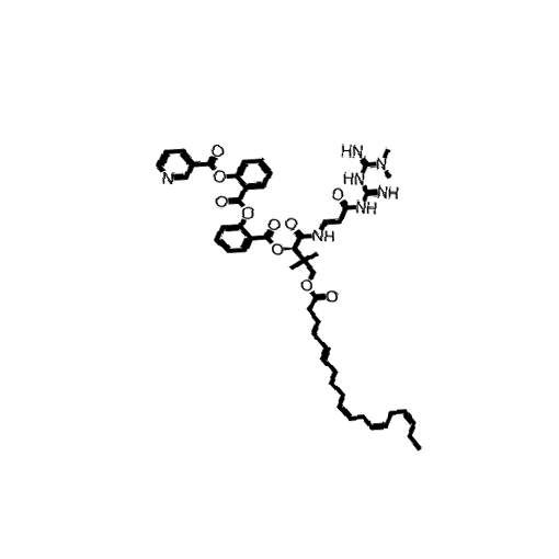 CC/C=C\C/C=C\C/C=C\CCC/C=C/CCCC(=O)OCC(C)(C)[C@@H](OC(=O)c1ccccc1OC(=O)c1ccccc1OC(=O)c1cccnc1)C(=O)NCCC(=O)NC(=N)NC(=N)N(C)C